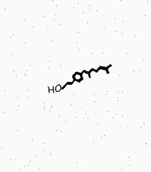 CC(C)=CCC/C(C)=C/c1ccc(/C=C/CO)cc1